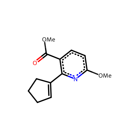 COC(=O)c1ccc(OC)nc1C1=CCCC1